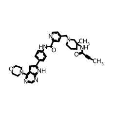 CC#CC(=O)N[C@]1(C)CCCN(Cc2ccnc(C(=O)Nc3ccc(-c4cc5c(N6CCOCC6)ncnc5[nH]4)cc3)c2)C1